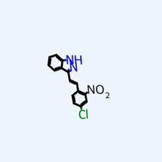 O=[N+]([O-])c1cc(Cl)ccc1/C=C/c1n[nH]c2ccccc12